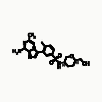 Cc1ccc(S(=O)(=O)N[C@H]2CC[C@H](CO)OC2)cc1-c1cnc2c(N)nc(C(F)(F)F)cn12